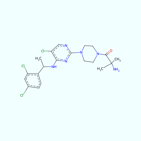 CC(Nc1nc(N2CCN(C(=O)C(C)(C)N)CC2)ncc1Cl)c1ccc(Cl)cc1Cl